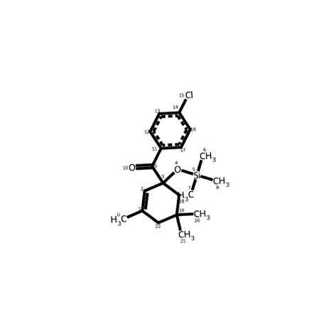 CC1=CC(O[Si](C)(C)C)(C(=O)c2ccc(Cl)cc2)CC(C)(C)C1